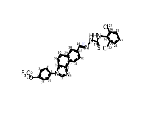 FC(F)(F)Oc1ccc(-n2cnc3c4ccc(/C=N/NC(=S)Nc5c(Cl)cccc5Cl)cc4ccc32)cc1